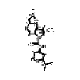 C[C@@]1(C(F)(F)F)CN(C(=O)Nc2cnnc(C(F)F)c2)c2cnc3cc(F)nn3c21